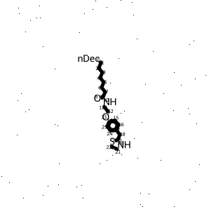 CCCCCCCCCCCCCCCCCC(=O)NCCOc1ccc(CC2NCCS2)cc1